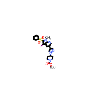 Cn1c(S(=O)(=O)c2ccccc2)c(I)c2cc(-c3cnn(C4CCN(C(=O)OC(C)(C)C)CC4)c3)cnc21